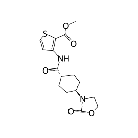 COC(=O)c1sccc1NC(=O)[C@H]1CC[C@H](N2CCOC2=O)CC1